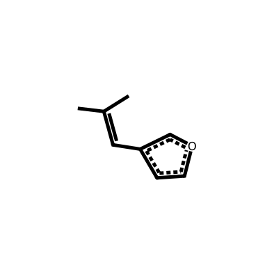 CC(C)=Cc1ccoc1